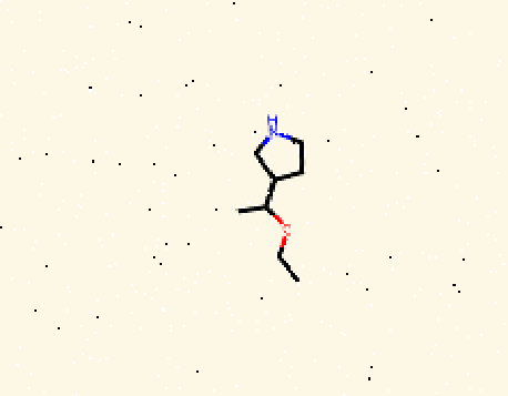 CCOC(C)C1CCNC1